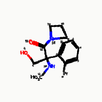 CC(C)c1ccccc1C(CO)(NC(=O)O)C(=O)N1CCC1